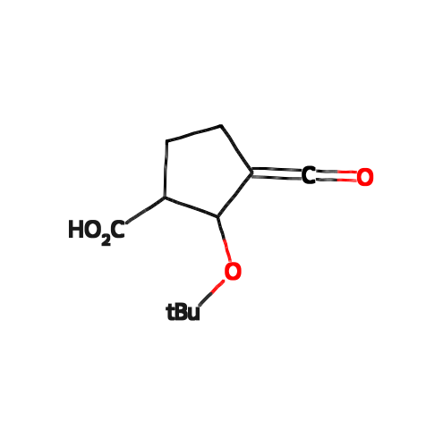 CC(C)(C)OC1C(=C=O)CCC1C(=O)O